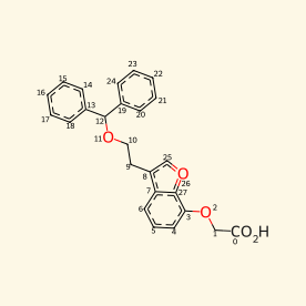 O=C(O)COc1cccc2c(CCOC(c3ccccc3)c3ccccc3)coc12